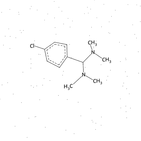 CN(C)C(c1ccc(Cl)cc1)N(C)C